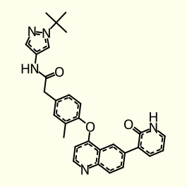 Cc1cc(CC(=O)Nc2cnn(C(C)(C)C)c2)ccc1Oc1ccnc2ccc(-c3ccc[nH]c3=O)cc12